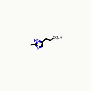 Cc1ncc(CCC(=O)O)[nH]1